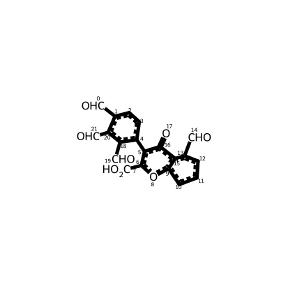 O=Cc1ccc(-c2c(C(=O)O)oc3cccc(C=O)c3c2=O)c(C=O)c1C=O